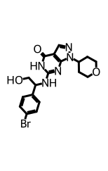 O=c1[nH]c(NC(CO)c2ccc(Br)cc2)nc2c1cnn2C1CCOCC1